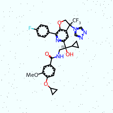 COc1cc(C(=O)NC[C@](O)(c2cc3c(c(-c4ccc(F)cc4)n2)OC[C@@]3(n2cnnc2)C(F)(F)F)C2CC2)ccc1OC1CC1